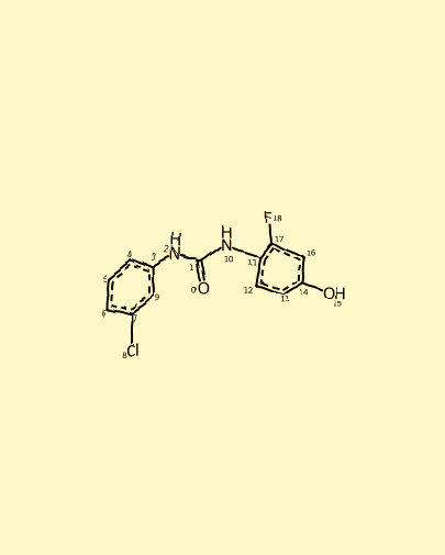 O=C(Nc1cccc(Cl)c1)Nc1ccc(O)cc1F